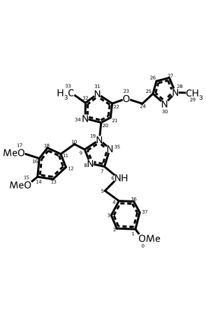 COc1ccc(CNc2nc(Cc3ccc(OC)c(OC)c3)n(-c3cc(OCc4ccn(C)n4)nc(C)n3)n2)cc1